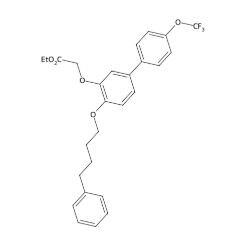 CCOC(=O)COc1cc(-c2ccc(OC(F)(F)F)cc2)ccc1OCCCCc1ccccc1